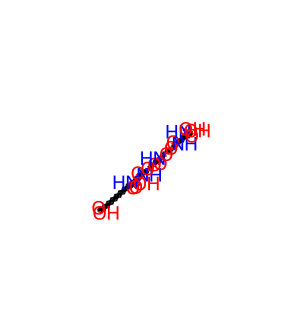 O=C(O)CCCCCCCCCCCCCCC(=O)NC(CCC(=O)NCCOCCOCC(=O)NCCOCCOCC(=O)NCCCCC(NO)C(=O)O)C(=O)O